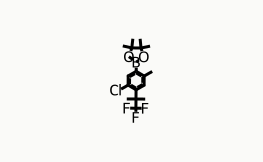 Cc1cc(C(C)(C)C(F)(F)F)c(Cl)cc1B1OC(C)(C)C(C)(C)O1